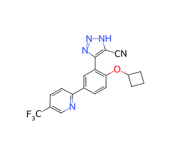 N#Cc1[nH]nnc1-c1cc(-c2ccc(C(F)(F)F)cn2)ccc1OC1CCC1